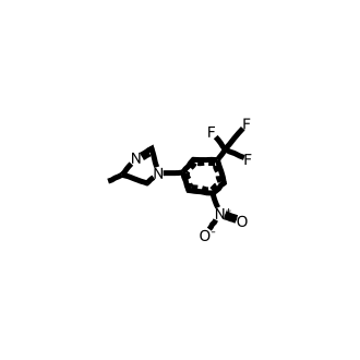 CC1CN(c2cc([N+](=O)[O-])cc(C(F)(F)F)c2)C=N1